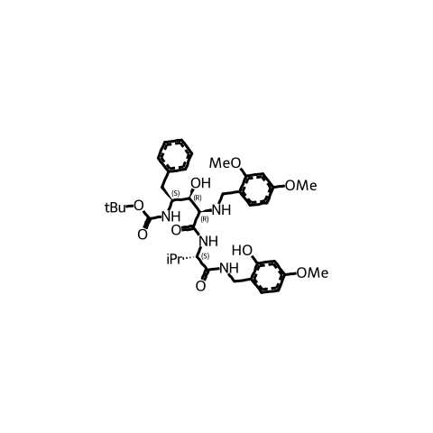 COc1ccc(CNC(=O)[C@@H](NC(=O)[C@H](NCc2ccc(OC)cc2OC)[C@H](O)[C@H](Cc2ccccc2)NC(=O)OC(C)(C)C)C(C)C)c(O)c1